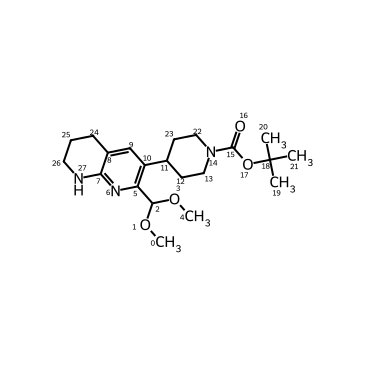 COC(OC)c1nc2c(cc1C1CCN(C(=O)OC(C)(C)C)CC1)CCCN2